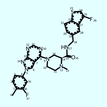 Cc1ccc(-n2cc3c(N4CCN(C)[C@H](C(=O)NCc5ccc6scc(F)c6c5)C4)ncnc3n2)cc1F